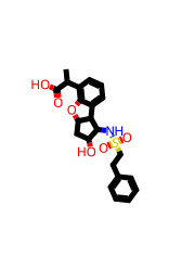 CC(C(=O)O)c1cccc2c1OC1CC(O)C(NS(=O)(=O)CCc3ccccc3)C21